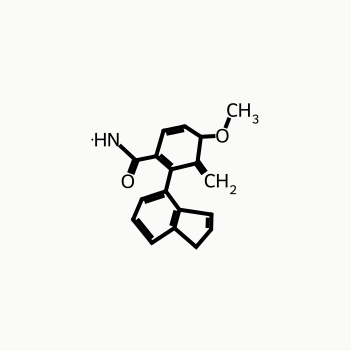 C=C1C(c2cccc3c2C=CC3)=C(C([NH])=O)C=CC1OC